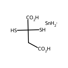 O=C(O)CC(S)(S)C(=O)O.[SnH2]